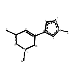 CC1C=C(c2cnn(C)c2)CN(C)C1